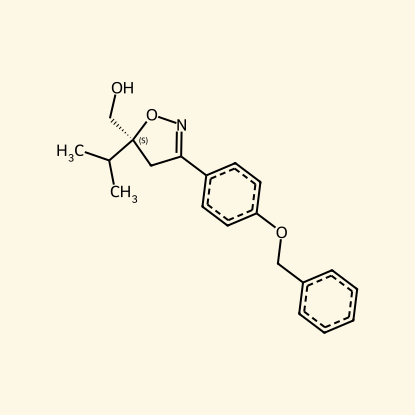 CC(C)[C@]1(CO)CC(c2ccc(OCc3ccccc3)cc2)=NO1